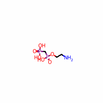 NCCOP(=O)(O)CP(=O)(O)O